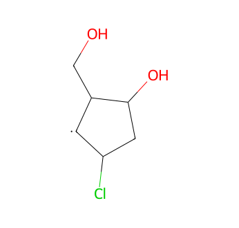 OCC1[CH]C(Cl)CC1O